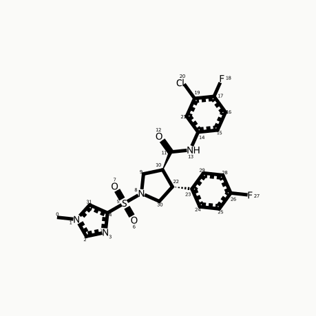 Cn1cnc(S(=O)(=O)N2C[C@@H](C(=O)Nc3ccc(F)c(Cl)c3)[C@H](c3ccc(F)cc3)C2)c1